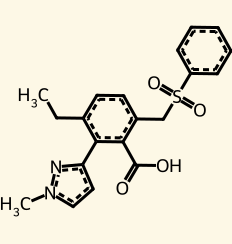 CCc1ccc(CS(=O)(=O)c2ccccc2)c(C(=O)O)c1-c1ccn(C)n1